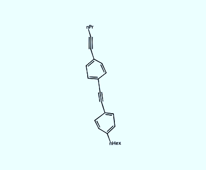 CCCC#Cc1ccc(C#Cc2ccc(CCCCCC)cc2)cc1